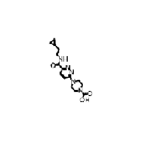 O=C(NCCC1CC1)c1ccc(N2CCN(C(=O)O)CC2)nn1